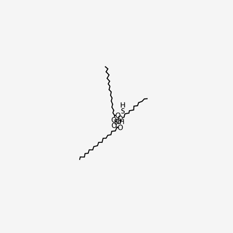 CCCCCCCCCCCCCCCCCC(=O)O[SiH](OOCC(S)CCCCCCCCC)OC(=O)CCCCCCCCCCCCCCCCC